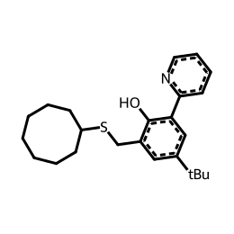 CC(C)(C)c1cc(CSC2CCCCCCC2)c(O)c(-c2ccccn2)c1